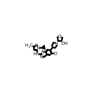 Cc1cc(Nc2ncc3cc(Cl)c(C4CCN([C@@H]5COCC5O)CC4)cc3n2)n(C2CC2)n1